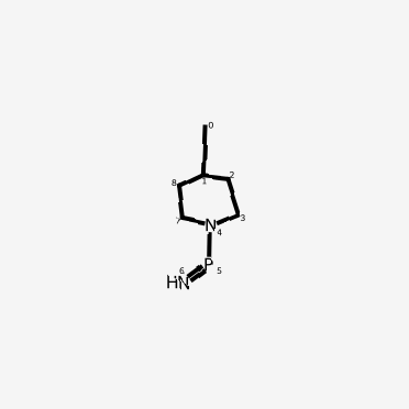 CC1CCN(P=N)CC1